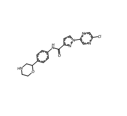 O=C(Nc1ccc(C2CNCCO2)cc1)c1ccn(-c2cnc(Cl)cn2)n1